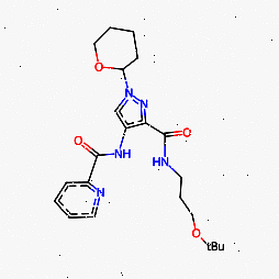 CC(C)(C)OCCCNC(=O)c1nn(C2CCCCO2)cc1NC(=O)c1ccccn1